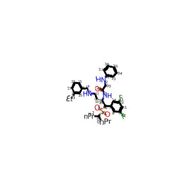 CCCC(CCC)S(=O)(=O)C(c1cc(F)cc(F)c1)[C@H]([CH]CNCc1cccc(CC)c1)NC(=O)CNc1ccccc1